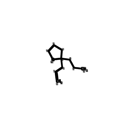 C=CCC1(CCC)CCCO1